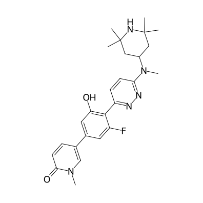 CN(c1ccc(-c2c(O)cc(-c3ccc(=O)n(C)c3)cc2F)nn1)C1CC(C)(C)NC(C)(C)C1